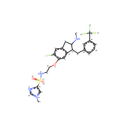 CNC1Cc2cc(F)c(OCCNS(=O)(=O)c3cn(C)cn3)cc2C1Cc1cccc(C(F)(F)F)c1